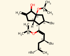 C=C1C[C@H]2[C@@H](C(=C[C@H](C[C@H](C)CCCC)C(C)(C)C)O[SiH](C)C)[C@H](C(C)(C)C)C[C@@]2(O[SiH](C)C)C1O